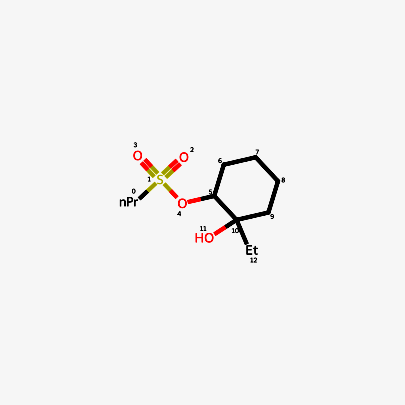 CCCS(=O)(=O)OC1CCCCC1(O)CC